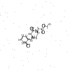 CCOC(=O)CN1CCN(Cc2ccccc2Cl)CC1=O